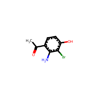 CC(=O)c1ccc(O)c(Br)c1N